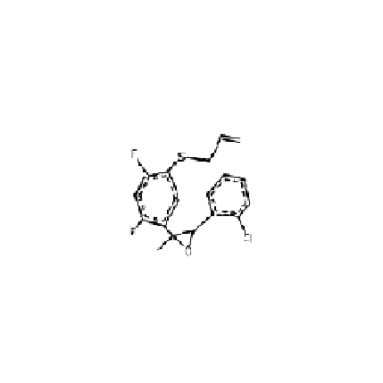 [CH2]C1(c2cc(SCC=C)c(F)cc2F)OC1c1ccccc1Cl